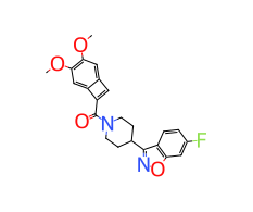 COc1cc2c(cc1OC)C(C(=O)N1CCC(c3noc4cc(F)ccc34)CC1)=C2